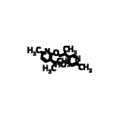 Cc1cc(O)c(C(C)COc2nc(C)ccc2C(C)C)cn1